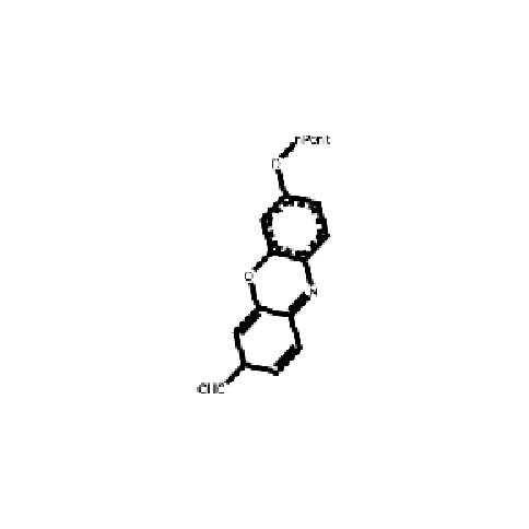 CCCCCOc1ccc2c(c1)OC1=CC(C=O)C=CC1=N2